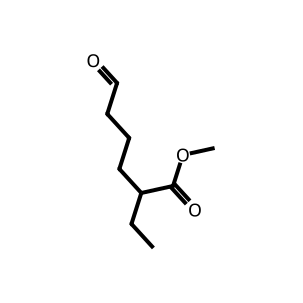 CCC(CCCC=O)C(=O)OC